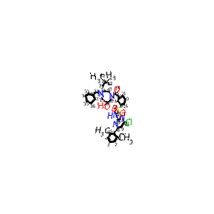 Cc1cccc(C)c1-c1cc(Cl)nc(NS(=O)(=O)c2cccc(C(=O)N3C[C@@H](O)CN(Cc4ccccc4)[C@H](CC(C)C)C3)c2)n1